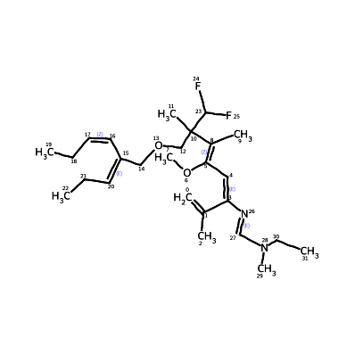 C=C(C)C(=C\C(OC)=C(/C)C(C)(COCC(/C=C\CC)=C/CC)C(F)F)/N=C/N(C)CC